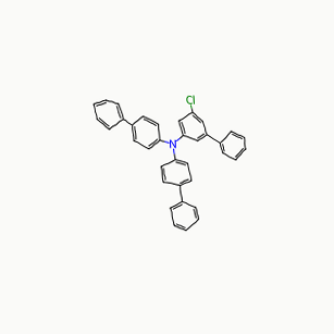 Clc1cc(-c2ccccc2)cc(N(c2ccc(-c3ccccc3)cc2)c2ccc(-c3ccccc3)cc2)c1